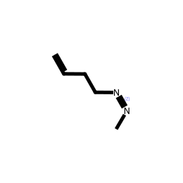 C=CCC/N=N\C